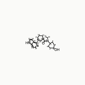 O=C1N(C2CCC(O)CC2)CC[C@]12CCCN(c1ncnc3[nH]ccc13)C2